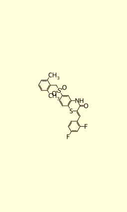 Cc1cccc(C)c1CS(=O)(=O)c1ccc2c(c1)NC(=O)C(=Cc1ccc(F)cc1F)S2